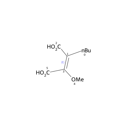 CCCC/C(C(=O)O)=C(\OC)C(=O)O